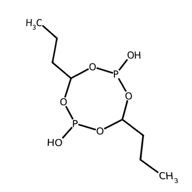 CCCC1OP(O)OC(CCC)OP(O)O1